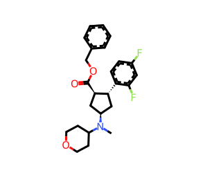 CN(C1CCOCC1)[C@H]1C[C@@H](C(=O)OCc2ccccc2)[C@H](c2ccc(F)cc2F)C1